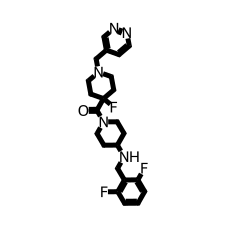 O=C(N1CCC(NCc2c(F)cccc2F)CC1)C1(F)CCN(Cc2ccnnc2)CC1